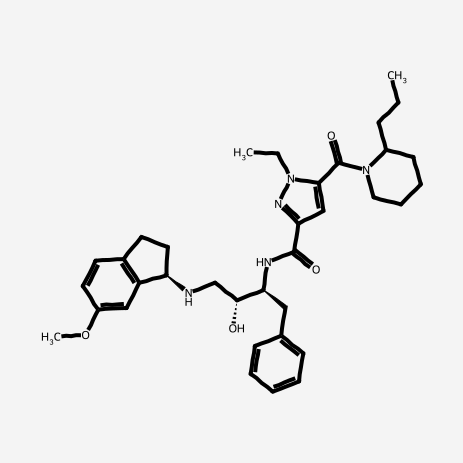 CCCC1CCCCN1C(=O)c1cc(C(=O)N[C@@H](Cc2ccccc2)[C@H](O)CN[C@@H]2CCc3ccc(OC)cc32)nn1CC